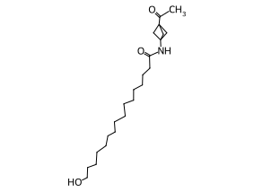 CC(=O)C12CC(NC(=O)CCCCCCCCCCCCCCCO)(C1)C2